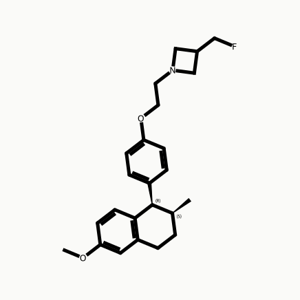 COc1ccc2c(c1)CC[C@H](C)[C@@H]2c1ccc(OCCN2CC(CF)C2)cc1